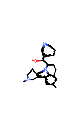 Cc1cc2c3c(c1)c1c(n3C(C(O)c3cccnc3)CC2)CCN(C)C1